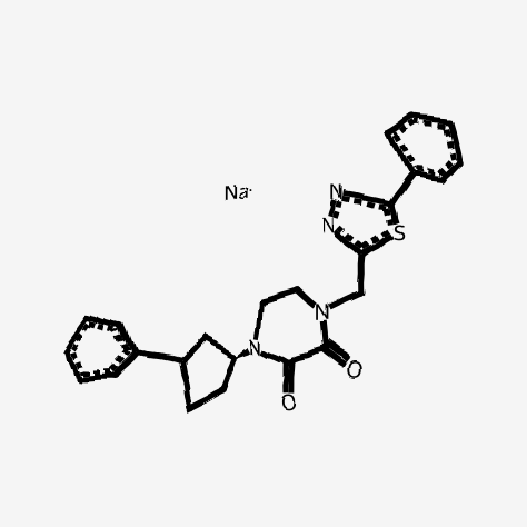 O=C1C(=O)N([C@H]2CCC(c3ccccc3)C2)CCN1Cc1nnc(-c2ccccc2)s1.[Na]